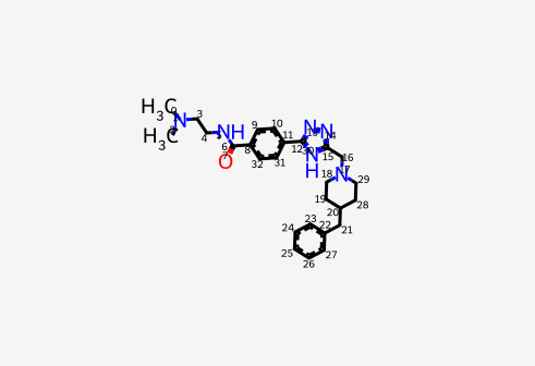 CN(C)CCNC(=O)c1ccc(-c2nnc(CN3CCC(Cc4ccccc4)CC3)[nH]2)cc1